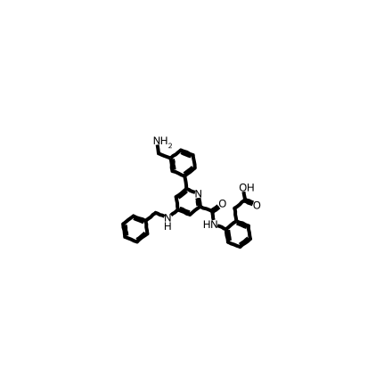 NCc1cccc(-c2cc(NCc3ccccc3)cc(C(=O)Nc3ccccc3CC(=O)O)n2)c1